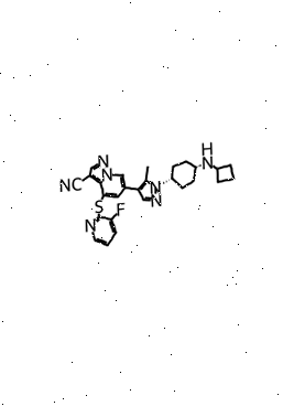 Cc1c(-c2cc(Sc3ncccc3F)c3c(C#N)cnn3c2)cnn1[C@H]1CC[C@@H](NC2CCC2)CC1